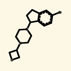 Brc1ccc2c(c1)CCC2N1CCN(C2COC2)CC1